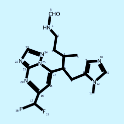 CC(CCNC=O)C(Cc1cncn1C)c1cc(C(F)F)nc2ncnn12